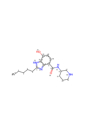 CC(C)CCCCc1nc2c(C(=O)NC3CCCNC3)ccc(O)c2[nH]1